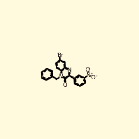 O=c1c(-c2cccc([N+](=O)[O-])c2)nc2cc(Br)ccc2n1Cc1ccccc1